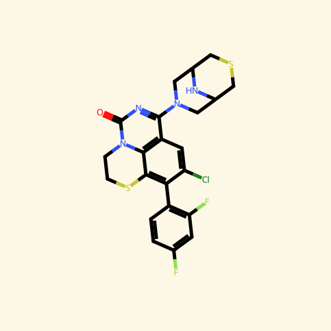 O=c1nc(N2CC3CSCC(C2)N3)c2cc(Cl)c(-c3ccc(F)cc3F)c3c2n1CCS3